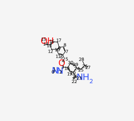 C=N/N=C(\OCc1ccc2c(c1)CC(CO)=CC2)C1=CC(C(=C)N)C(CC(C)C)C=C1